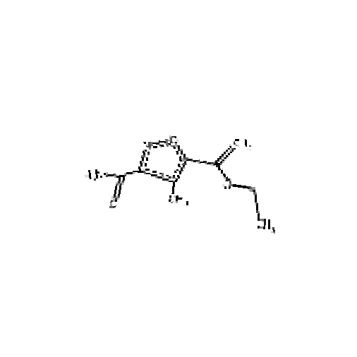 C=C(OCC)c1onc(C(N)=O)c1C